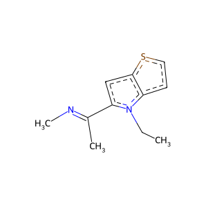 CCn1c(/C(C)=N/C)cc2sccc21